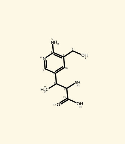 CC(c1cnc(N)c(CO)c1)C(S)C(=O)O